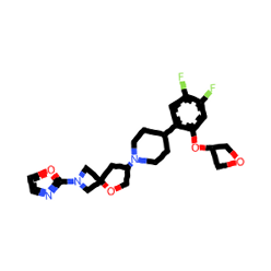 Fc1cc(OC2COC2)c(C2CCN(C3COC4(C3)CN(c3ncco3)C4)CC2)cc1F